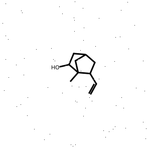 C=CC1CC2CC(O)C1(C)C2